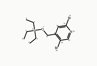 CC[Si](CC)(CC)OCc1cc(Br)ncc1Br